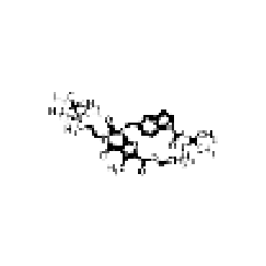 CCOC(=O)c1sc2c(c1C)c(=O)n(CCO[Si](C)(C)C(C)(C)C)c(=O)n2Cc1ccc2c(ccn2C(=O)OC(C)(C)C)c1